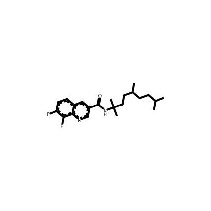 CC(C)CCC(C)CCC(C)(C)NC(=O)c1cnc2c(F)c(F)ccc2c1